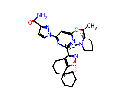 C[C@H](Oc1cc(-n2ccc(C(N)=O)n2)nc(-c2noc3c2CCC[C@@]32CCCCC2=O)n1)[C@@H]1CCCN1C